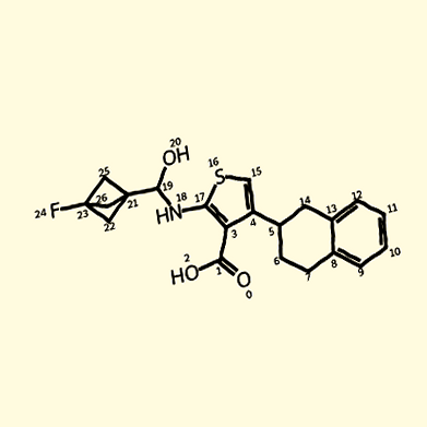 O=C(O)c1c(C2CCc3ccccc3C2)csc1NC(O)C12CC(F)(C1)C2